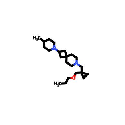 CCCOCC1(CN2CCC3(CC2)CC(N2CCC(C)CC2)C3)CC1